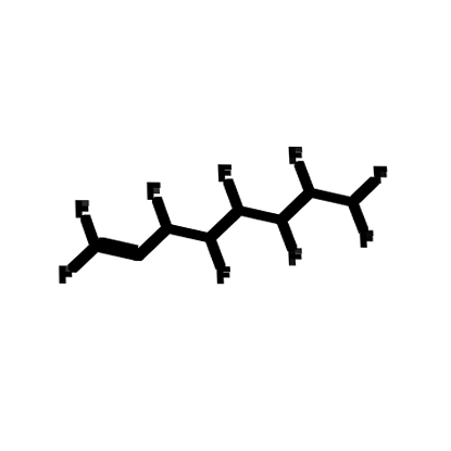 FC(F)=CC(F)C(F)C(F)C(F)C(F)C(F)F